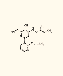 C/C=C(\C)CNc1cc(-c2cccnc2OCC)nc(C=N)c1C